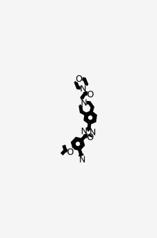 CC(C)Oc1ccc(-c2nc(-c3ccc4c(c3)CCN(CC(=O)N3CCOCC3)CC4)no2)cc1C#N